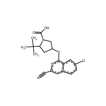 CC(C)(C)C1CC(Oc2nc(C#N)cc3ccc(Cl)cc23)CN1C(=O)O